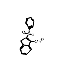 CCOC(=O)C1=C(S(=O)(=O)c2ccccc2)Cc2ccccc21